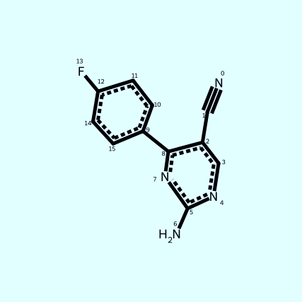 N#Cc1cnc(N)nc1-c1ccc(F)cc1